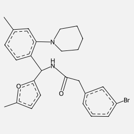 Cc1ccc(C(NC(=O)Cc2cccc(Br)c2)c2ccc(C)o2)c(N2CCCCC2)c1